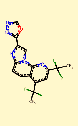 FC(F)(F)C(F)(F)c1cc(C(F)(F)C(F)(F)F)c2ccc3nc(-c4nnco4)cn3c2n1